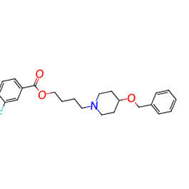 O=C(OCCCCN1CCC(OCc2ccccc2)CC1)c1cccc(F)c1